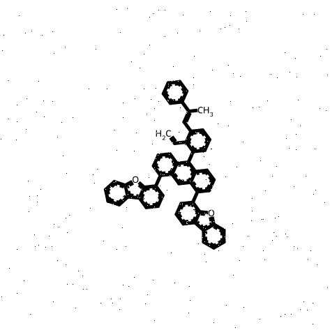 C=Cc1c(/C=C(\C)c2ccccc2)cccc1-c1c2cccc(-c3cccc4c3oc3ccccc34)c2cc2c(-c3cccc4c3oc3ccccc34)cccc12